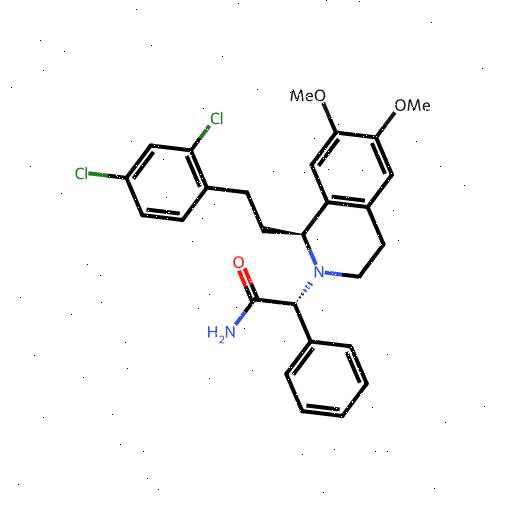 COc1cc2c(cc1OC)[C@H](CCc1ccc(Cl)cc1Cl)N([C@@H](C(N)=O)c1ccccc1)CC2